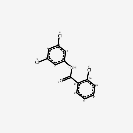 O=C(Nc1cc(Cl)cc(Cl)c1)c1ccccc1Cl